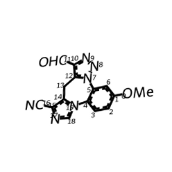 COc1ccc2c(c1)-n1nnc(C=O)c1Cc1c(C#N)ncn1-2